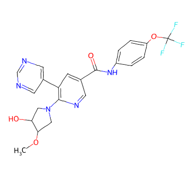 COC1CN(c2ncc(C(=O)Nc3ccc(OC(F)(F)F)cc3)cc2-c2cncnc2)CC1O